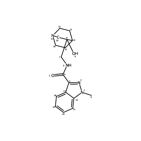 Cn1nc(C(=O)NCC2(O)CN3CCC2CC3)c2ccccc21